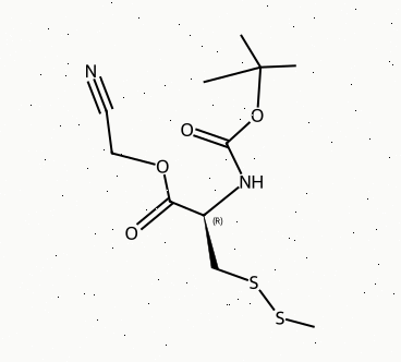 CSSC[C@H](NC(=O)OC(C)(C)C)C(=O)OCC#N